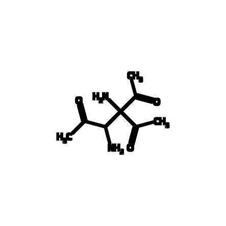 CC(=O)C(N)C(N)(C(C)=O)C(C)=O